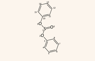 O=S(Oc1ccccc1)Oc1ccccc1